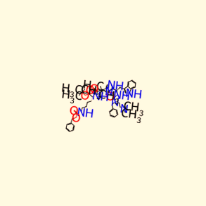 CN(C)CCN(Cc1ccccc1)C(=O)N[C@H](Cc1c[nH]c2ccccc12)c1nc(C(C)(C)C(=O)N[C@H](CCCCNC(=O)OCc2ccccc2)C(=O)OC(C)(C)C)c[nH]1